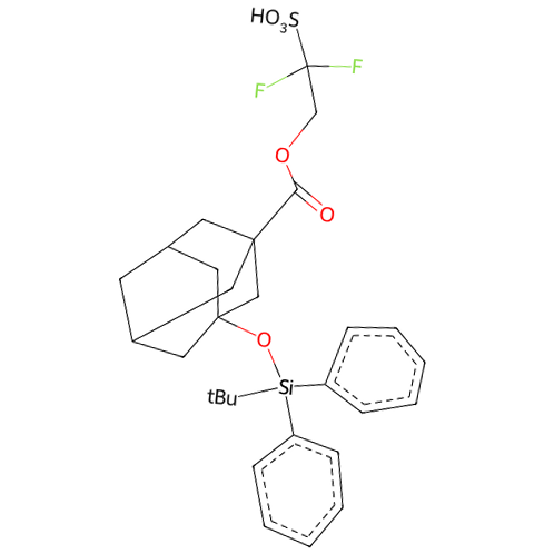 CC(C)(C)[Si](OC12CC3CC(C1)CC(C(=O)OCC(F)(F)S(=O)(=O)O)(C3)C2)(c1ccccc1)c1ccccc1